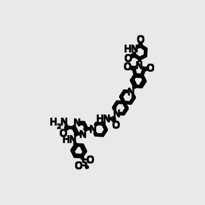 CS(=O)(=O)c1ccc(Nc2nc(N3CCCC(NC(=O)N4CCC5(CC4)CCN(c4ccc6c(c4)C(=O)N(C4CCC(=O)NC4=O)C6=O)CC5)C3)cnc2C(N)=O)cc1